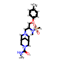 CC(C)NC(=O)N1CC2CC(CN(CC(COc3ccc(C#N)cc3)N(C)S(C)(=O)=O)C2)C1